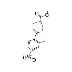 COC(=O)C1CCN(c2ccc([N+](=O)[O-])cc2C)CC1